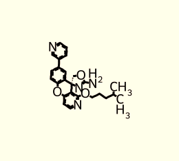 CC(C)CCCOc1nccc2c1[C@@]1(COC(N)=N1)c1cc(-c3cccnc3)ccc1O2